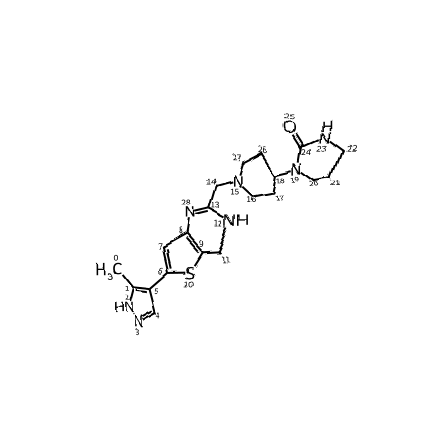 Cc1[nH]ncc1-c1cc2c(s1)CNC(CN1CCC(N3CCCNC3=O)CC1)=N2